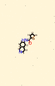 O=C(Nc1ccc2cnccc2c1)c1cccs1